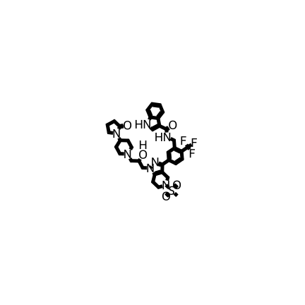 CS(=O)(=O)N1CCc2c(c(-c3ccc(C(F)(F)F)c(CNC(=O)c4c[nH]c5ccccc45)c3)nn2CC(O)CN2CCC(N3CCCC3=O)CC2)C1